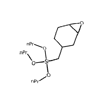 CCCO[Si](CC1CCC2OC2C1)(OCCC)OCCC